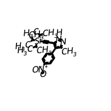 Cc1n[nH]c(C#C[Si](C(C)C)(C(C)C)C(C)C)c1-c1ccc([N+](=O)[O-])cc1